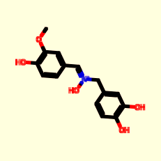 COc1cc(/C=[N+](\O)Cc2ccc(O)c(O)c2)ccc1O